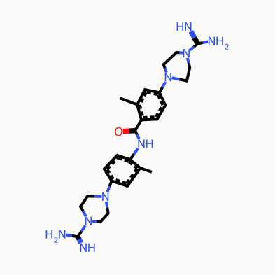 Cc1cc(N2CCN(C(=N)N)CC2)ccc1NC(=O)c1ccc(N2CCN(C(=N)N)CC2)cc1C